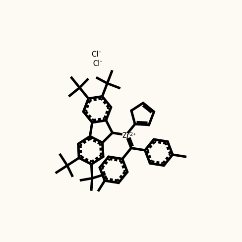 Cc1ccc([C](c2ccc(C)cc2)=[Zr+2]([C]2=CC=CC2)[CH]2c3cc(C(C)(C)C)c(C(C)(C)C)cc3-c3cc(C(C)(C)C)c(C(C)(C)C)cc32)cc1.[Cl-].[Cl-]